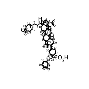 C=C(C)[C@@H]1CC[C@]2(NCCN3CCS(=O)(=O)CC3)CC[C@]3(C)[C@H](CC[C@@H]4[C@@]5(C)CC=C(C6=CC[C@@](COc7cccc(F)n7)(C(=O)O)CC6)C(C)(C)[C@@H]5CC[C@]43C)[C@@H]12